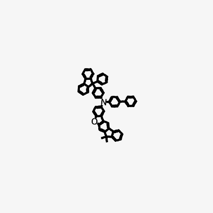 CC1(C)c2ccccc2-c2cc3c(cc21)oc1ccc(N(c2ccc(-c4ccccc4)cc2)c2ccc(C4(c5ccccc5)c5ccccc5-c5ccccc54)cc2)cc13